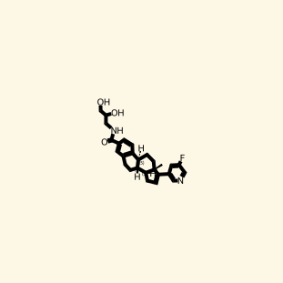 C[C@]12CC[C@@H]3c4ccc(C(=O)NCC(O)CO)cc4CC[C@H]3[C@@H]1CC=C2c1cncc(F)c1